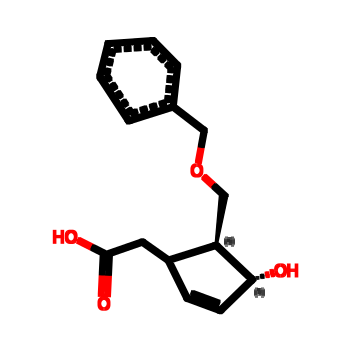 O=C(O)CC1C=C[C@@H](O)[C@@H]1COCc1ccccc1